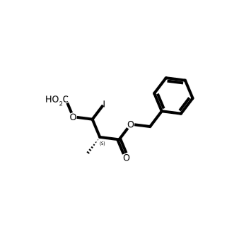 C[C@@H](C(=O)OCc1ccccc1)C(I)OC(=O)O